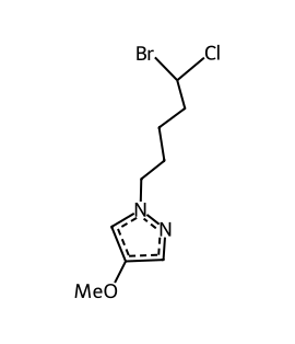 COc1cnn(CCCCC(Cl)Br)c1